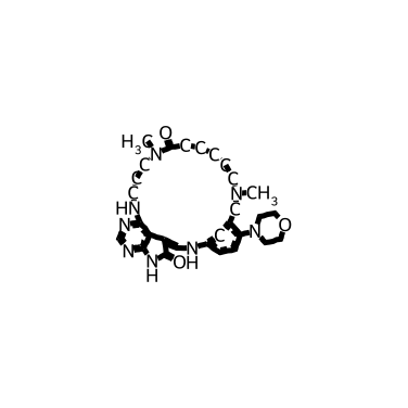 CN1CCCCCC(=O)N(C)CCCNc2ncnc3c2/C(=C/Nc2ccc(N4CCOCC4)c(c2)C1)C(=O)N3